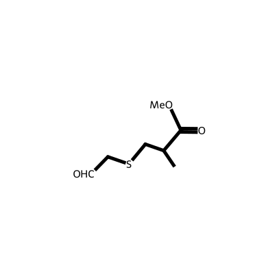 COC(=O)C(C)CSCC=O